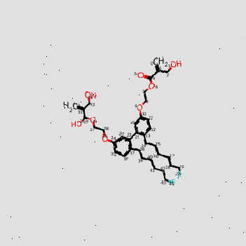 C=C(CO)C(=O)OCCOc1ccc(CCCCCCF)c(-c2cc(OCCOC(O)C(=C)CO)ccc2CCCCCCF)c1